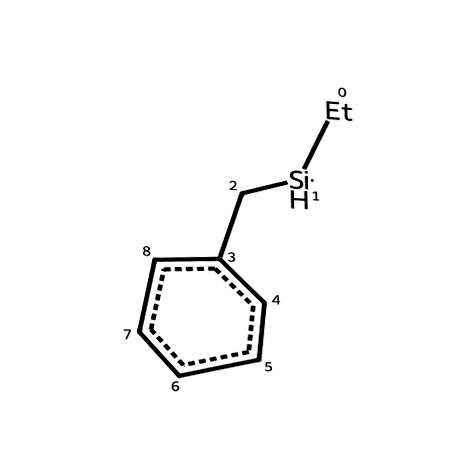 CC[SiH]Cc1ccccc1